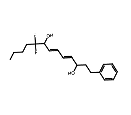 CCCCC(F)(F)C(O)/C=C/[C]=C/C(O)CCc1ccccc1